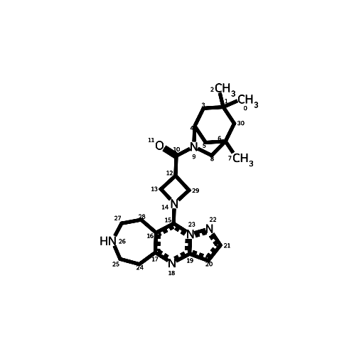 CC1(C)CC2CC(C)(CN2C(=O)C2CN(c3c4c(nc5ccnn35)CCNCC4)C2)C1